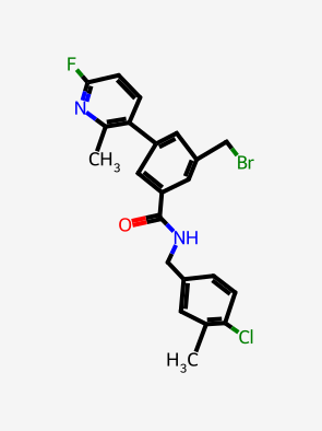 Cc1cc(CNC(=O)c2cc(CBr)cc(-c3ccc(F)nc3C)c2)ccc1Cl